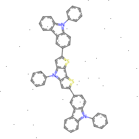 c1ccc(-n2c3ccccc3c3cc(-c4cc5c(s4)c4sc(-c6ccc7c(c6)c6ccccc6n7-c6ccccc6)cc4n5-c4ccccc4)ccc32)cc1